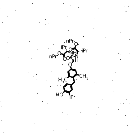 CCCOC(=O)[C@@H](NP(=O)(COc1cc(C)c(Cc2ccc(O)c(C(C)C)c2)c(C)c1)N[C@H](C(=O)OCCC)C(C)C)C(C)C